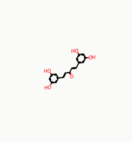 O=C(/C=C/c1cc(O)cc(O)c1)/C=C/c1cc(O)cc(O)c1